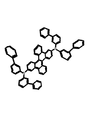 c1ccc(-c2cccc(N(c3cccc(-c4ccccc4)c3)c3ccc4c(c3)c3ccccc3c3c5ccc(N(c6cccc(-c7ccccc7)c6)c6cccc(-c7ccccc7)c6)cc5c5ccccc5c43)c2)cc1